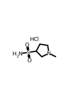 CN1CCC(S(N)(=O)=O)C1.Cl